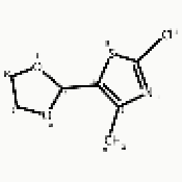 Cc1nc(Cl)sc1C1OCCO1